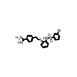 N=C(N)c1ccc(CCSc2ccccc2NS(=O)(=O)c2cccc(Br)c2)cc1